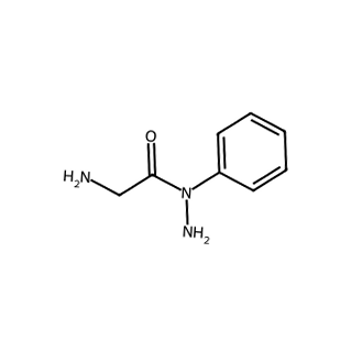 NCC(=O)N(N)c1ccccc1